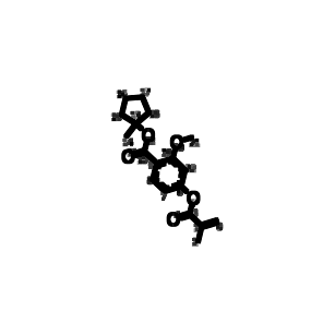 C=C(C)C(=O)Oc1ccc(C(=O)OC2(C)CCCC2)c(OC)c1